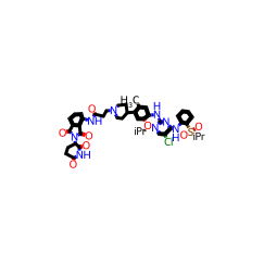 Cc1cc(Nc2ncc(Cl)c(Nc3ccccc3S(=O)(=O)C(C)C)n2)c(OC(C)C)cc1C1CCN(CCC(=O)Nc2cccc3c2C(=O)N(C2CCC(=O)NC2=O)C3=O)CC1